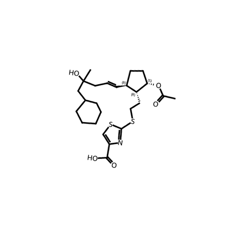 CC(=O)O[C@H]1CC[C@H](C=CCC(C)(O)CC2CCCCC2)[C@H]1CCSc1nc(C(=O)O)cs1